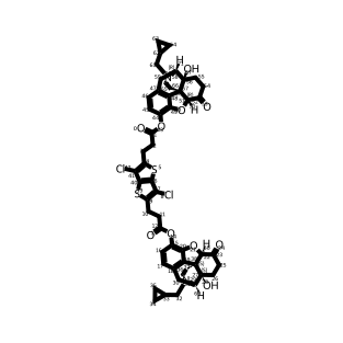 O=C(CCc1sc2c(Cl)c(CCC(=O)Oc3ccc4c5c3O[C@H]3C(=O)CC[C@@]6(O)[C@@H](C4)N(CC4CC4)CC[C@]536)sc2c1Cl)Oc1ccc2c3c1O[C@H]1C(=O)CC[C@@]4(O)[C@@H](C2)N(CC2CC2)CC[C@]314